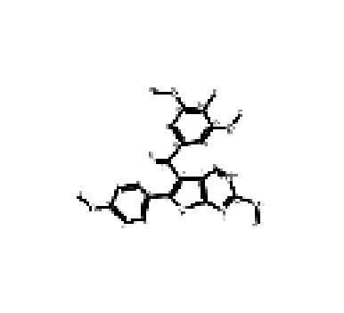 COc1ccc(-c2oc3nc(OC)ncc3c2C(=O)c2cc(OC)c(C)c(OC)c2)cc1